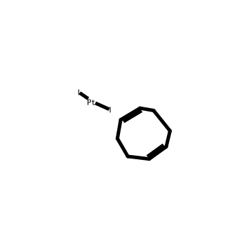 C1=C\CC/C=C\CC/1.[I][Pt][I]